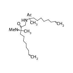 C=CCCCCCC[C@@](C)(NCC(=O)[C@](C)(CCCCCCC=C)NC)C(C)=O